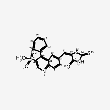 CS(=O)(=O)c1cnc2ccc(/C=C3/SC(=S)NC3=O)cc2c1-c1ccccc1